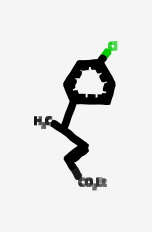 CCOC(=O)C=CC(C)c1ccc(Cl)cc1